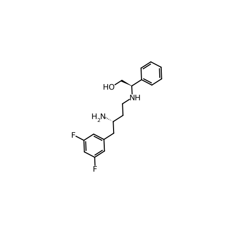 N[C@H](CCN[C@@H](CO)c1ccccc1)Cc1cc(F)cc(F)c1